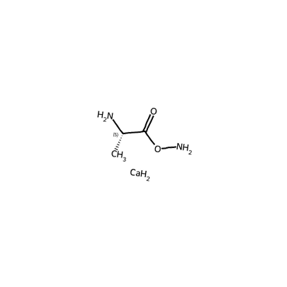 C[C@H](N)C(=O)ON.[CaH2]